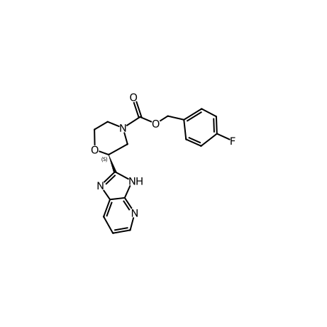 O=C(OCc1ccc(F)cc1)N1CCO[C@H](c2nc3cccnc3[nH]2)C1